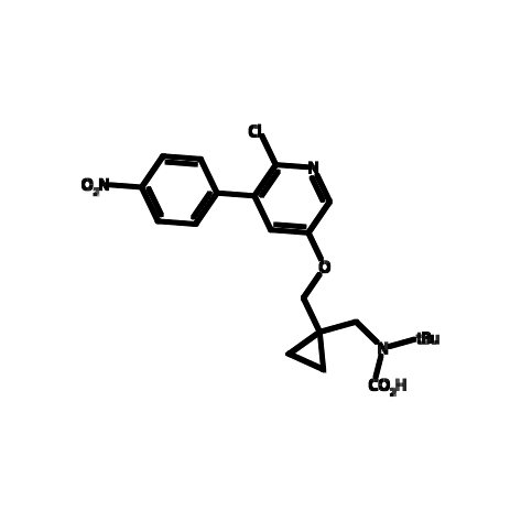 CC(C)(C)N(CC1(COc2cnc(Cl)c(-c3ccc([N+](=O)[O-])cc3)c2)CC1)C(=O)O